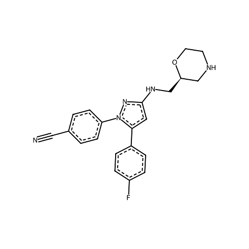 N#Cc1ccc(-n2nc(NC[C@@H]3CNCCO3)cc2-c2ccc(F)cc2)cc1